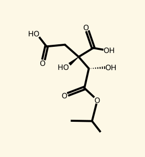 CC(C)OC(=O)[C@@H](O)[C@](O)(CC(=O)O)C(=O)O